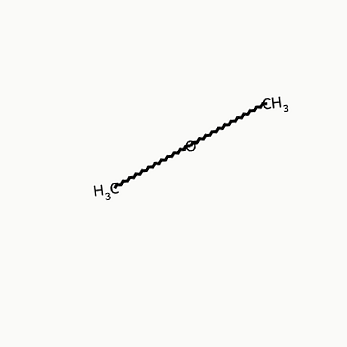 CCCCCCCCCCCCCCCCCCCCCCC=COC=CCCCCCCCCCCCCCCCCCCCCCC